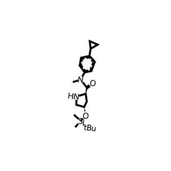 CN(C(=O)[C@H]1C[C@H](O[Si](C)(C)C(C)(C)C)CN1)c1ccc(C2CC2)cc1